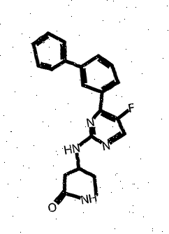 O=C1CC(Nc2ncc(F)c(-c3cccc(-c4ccccc4)c3)n2)CCN1